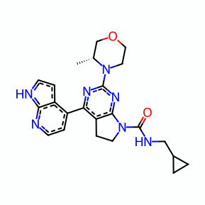 C[C@@H]1COCCN1c1nc(-c2ccnc3[nH]ccc23)c2c(n1)N(C(=O)NCC1CC1)CC2